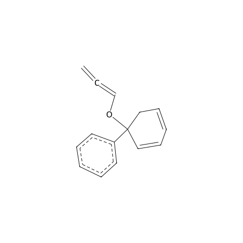 C=C=COC1(c2ccccc2)C=CC=CC1